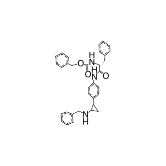 O=C(N[C@H](Cc1ccccc1)C(=O)Nc1ccc(C2CC2NCc2ccccc2)cc1)OCc1ccccc1